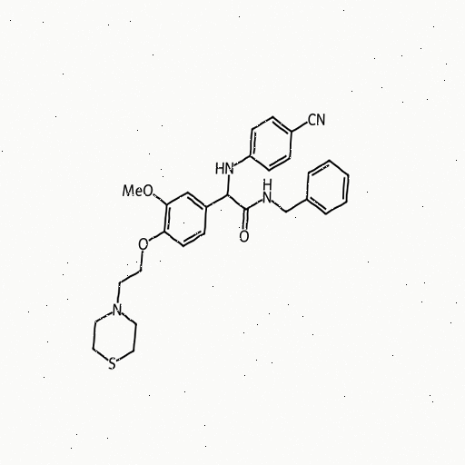 COc1cc(C(Nc2ccc(C#N)cc2)C(=O)NCc2ccccc2)ccc1OCCN1CCSCC1